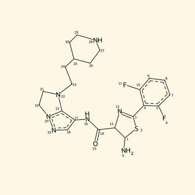 NC1SC(c2c(F)cccc2F)=NC1C(=O)Nc1cnn2c1N(CCC1CCNCC1)CC2